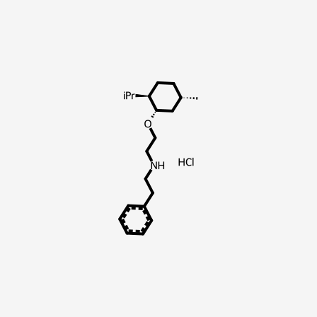 CC(C)[C@H]1CC[C@H](C)C[C@@H]1OCCNCCc1ccccc1.Cl